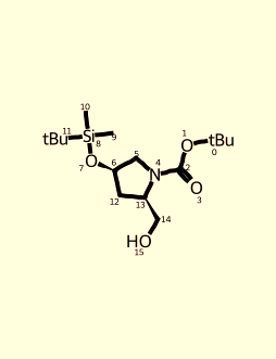 CC(C)(C)OC(=O)N1C[C@H](O[Si](C)(C)C(C)(C)C)C[C@@H]1CO